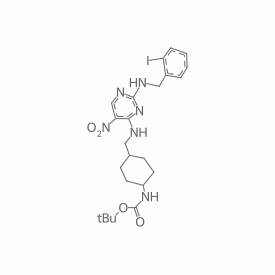 CC(C)(C)OC(=O)NC1CCC(CNc2nc(NCc3ccccc3I)ncc2[N+](=O)[O-])CC1